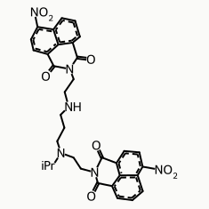 CC(C)N(CCCNCCN1C(=O)c2cccc3c([N+](=O)[O-])ccc(c23)C1=O)CCN1C(=O)c2cccc3c([N+](=O)[O-])ccc(c23)C1=O